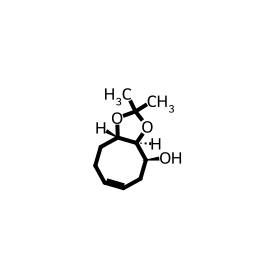 CC1(C)O[C@@H]2[C@H](CC/C=C\C[C@@H]2O)O1